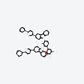 N#Cc1cc(-c2ccc(-n3c4ccccc4c4cc(-c5ccc(-c6ccccc6)nc5)ccc43)c(C#N)c2-n2c3ccccc3c3cc(-c4ccc(-c5ccccc5)nc4)ccc32)cc(C(F)(F)F)c1